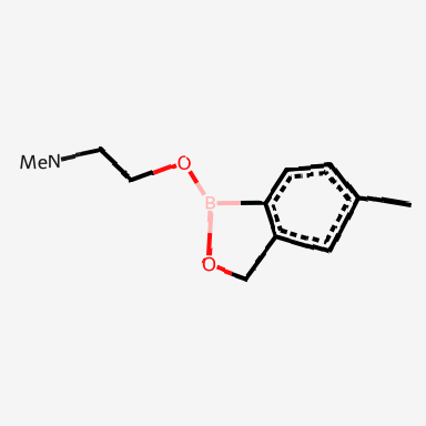 CNCCOB1OCc2cc(C)ccc21